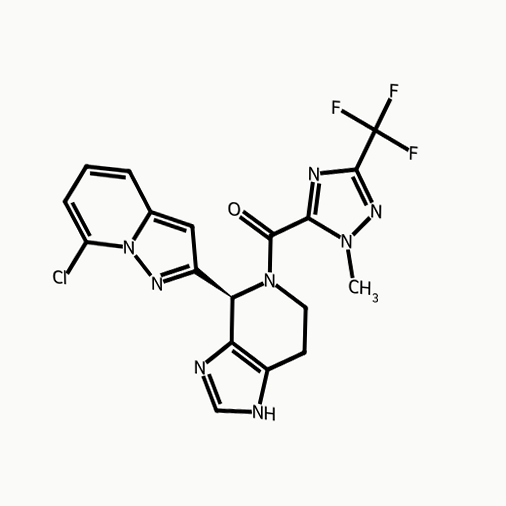 Cn1nc(C(F)(F)F)nc1C(=O)N1CCc2[nH]cnc2[C@H]1c1cc2cccc(Cl)n2n1